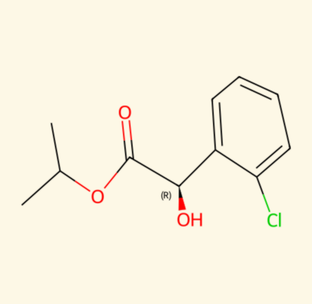 CC(C)OC(=O)[C@H](O)c1ccccc1Cl